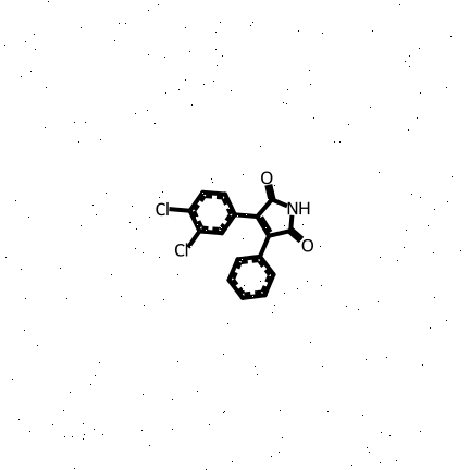 O=C1NC(=O)C(c2ccc(Cl)c(Cl)c2)=C1c1ccccc1